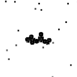 CC1(C)c2ccccc2-c2cc(-c3nc(-c4ccccc4)nc(-c4ccc5c(c4)C(C)(C)c4c-5cccc4-n4c5ccccc5c5cccnc54)n3)ccc21